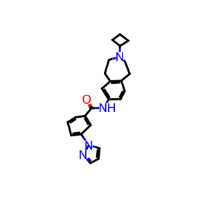 O=C(Nc1ccc2c(c1)CCN(C1CCC1)CC2)c1cccc(-n2cccn2)c1